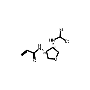 C=CC(=O)N[C@H]1COC[C@H]1NC(CC)CC